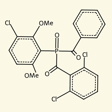 COc1ccc(Cl)c(OC)c1P(=O)(C(=O)c1ccccc1)C(=O)c1c(Cl)cccc1Cl